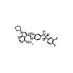 Nc1ncnc2c1c(-c1nc3ccc(NS(=O)(=O)c4ccc(F)c(F)c4)cc3[nH]1)cn2C1CCCC1